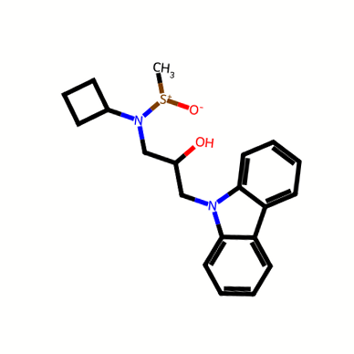 C[S+]([O-])N(CC(O)Cn1c2ccccc2c2ccccc21)C1CCC1